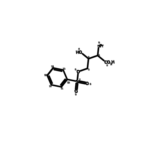 CCCC(C(=O)O)C(O)COS(=O)(=O)c1ccccc1